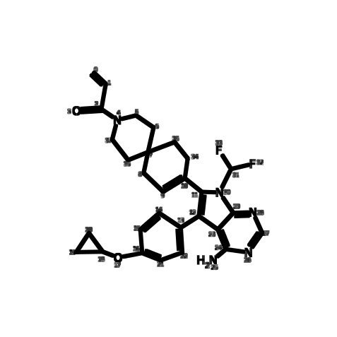 C=CC(=O)N1CCC2(CC=C(c3c(-c4ccc(OC5CC5)cc4)c4c(N)ncnc4n3C(F)F)CC2)CC1